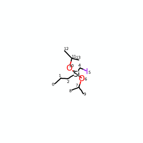 CCC[Si](CI)(OC(C)C)OC(C)C